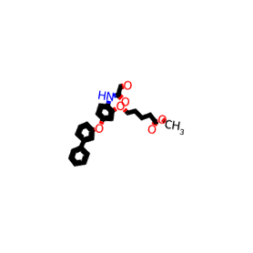 COC(=O)CCCCOc1cc(Oc2cccc(-c3ccccc3)c2)ccc1NC(=O)C=O